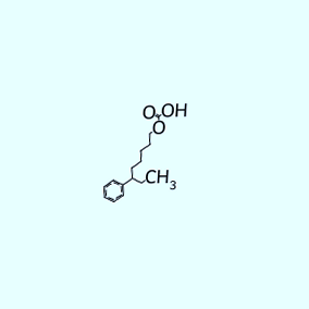 CCC(CCCCCOC(=O)O)c1ccccc1